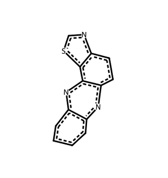 c1ccc2nc3c(ccc4ncsc43)nc2c1